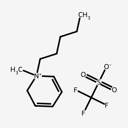 CCCCC[N+]1(C)C=CC=CC1.O=S(=O)([O-])C(F)(F)F